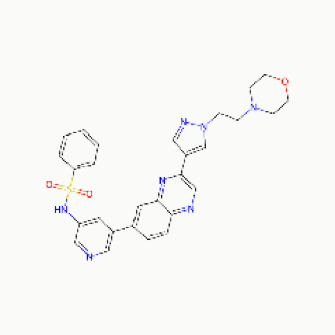 O=S(=O)(Nc1cncc(-c2ccc3ncc(-c4cnn(CCN5CCOCC5)c4)nc3c2)c1)c1ccccc1